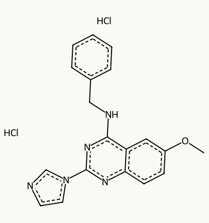 COc1ccc2nc(-n3ccnc3)nc(NCc3ccccc3)c2c1.Cl.Cl